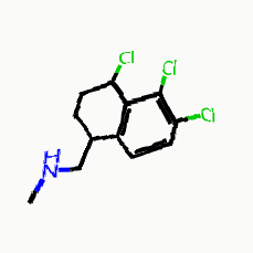 CNCC1CCC(Cl)c2c1ccc(Cl)c2Cl